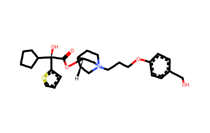 O=C(O[C@H]1C[N+]2(CCCOc3ccc(CO)cc3)CCC1CC2)[C@](O)(c1cccs1)C1CCCC1